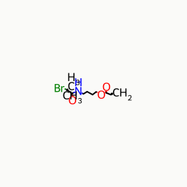 C=CC(=O)OCCCCNC(=O)C(C)(C)Br